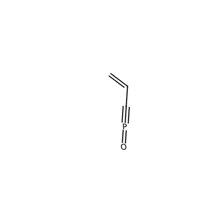 C=CC#P=O